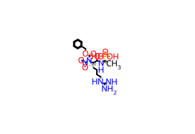 C[C@H](NC(=O)[C@H](CCCCNC(=N)N)N(C(=O)OCc1ccccc1)[N+](=O)[O-])P(=O)(O)O